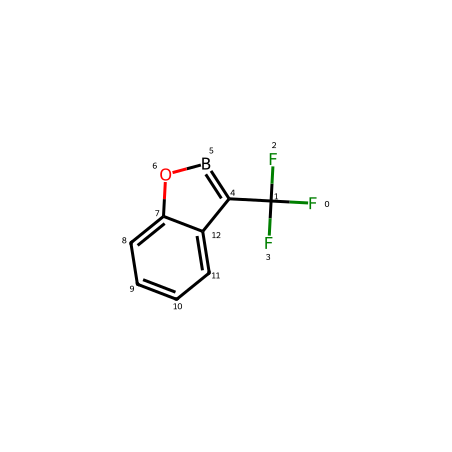 FC(F)(F)c1boc2ccccc12